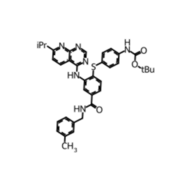 Cc1cccc(CNC(=O)c2ccc(Sc3ccc(NC(=O)OC(C)(C)C)cc3)c(Nc3ncnc4nc(C(C)C)ccc34)c2)c1